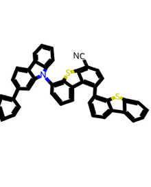 N#Cc1ccc(-c2cccc3c2sc2ccccc23)c2c1sc1c(-n3c4ccccc4c4ccc(-c5ccccc5)cc43)cccc12